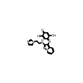 O=C1C=C(O)/C(=N/c2c(NCCn3ccnc3)nn3ccccc23)C=C1Cl